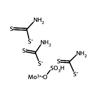 NC(=S)[S-].NC(=S)[S-].NC(=S)[S-].O=S(=O)(O)[O][Mo+3]